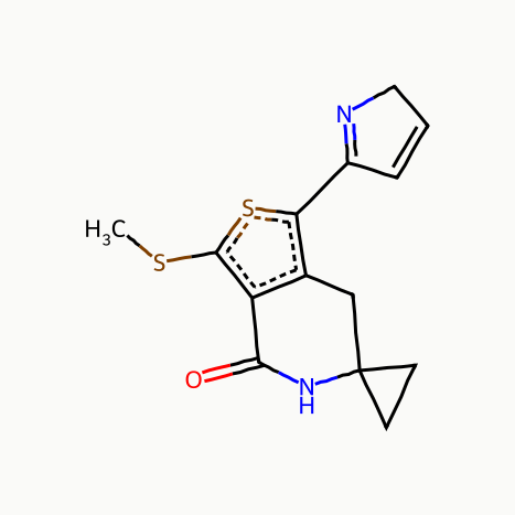 CSc1sc(C2=NCC=C2)c2c1C(=O)NC1(CC1)C2